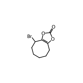 O=c1oc2c(o1)C(Br)CCCCC2